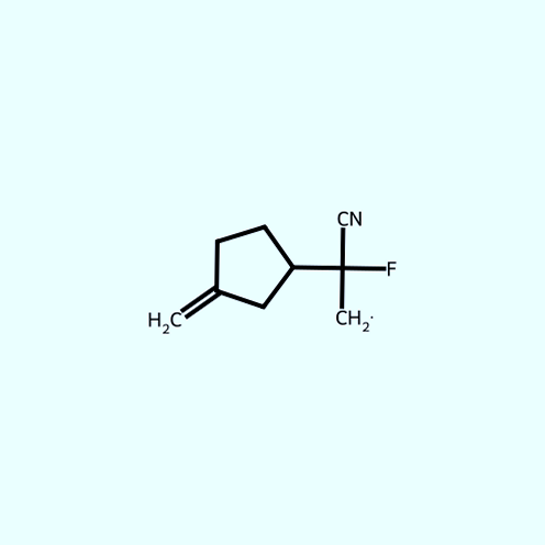 [CH2]C(F)(C#N)C1CCC(=C)C1